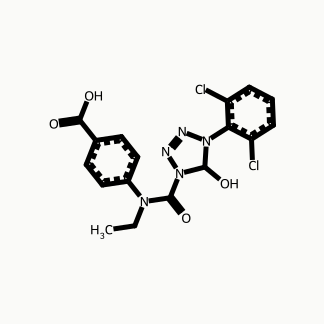 CCN(C(=O)N1N=NN(c2c(Cl)cccc2Cl)C1O)c1ccc(C(=O)O)cc1